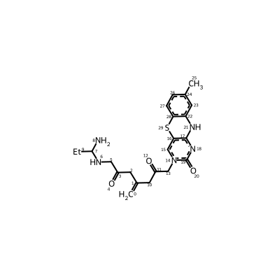 C=C(CC(=O)CNC(N)CC)CC(=O)Cn1cc2c(nc1=O)Nc1cc(C)ccc1S2